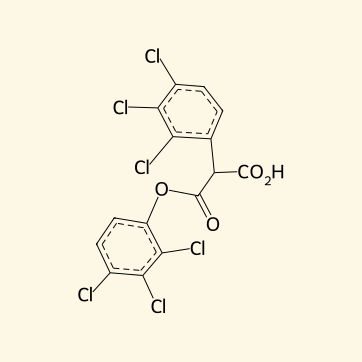 O=C(O)C(C(=O)Oc1ccc(Cl)c(Cl)c1Cl)c1ccc(Cl)c(Cl)c1Cl